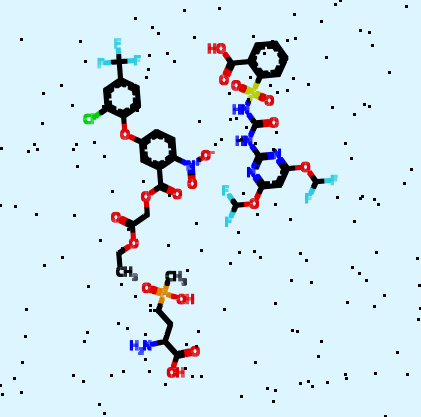 CCOC(=O)COC(=O)c1cc(Oc2ccc(C(F)(F)F)cc2Cl)ccc1[N+](=O)[O-].CP(=O)(O)CCC(N)C(=O)O.O=C(Nc1nc(OC(F)F)cc(OC(F)F)n1)NS(=O)(=O)c1ccccc1C(=O)O